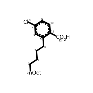 CCCCCCCCCCCCc1cc(Cl)ccc1C(=O)O